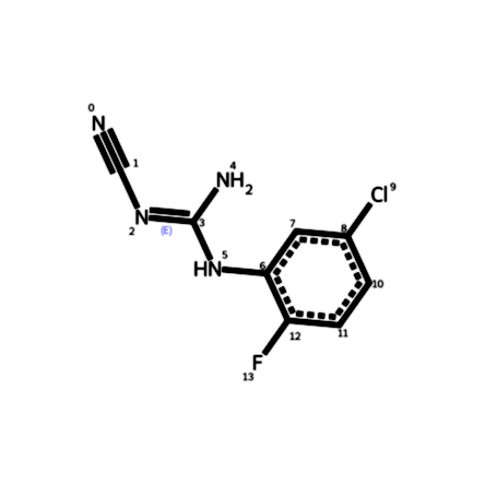 N#C/N=C(\N)Nc1cc(Cl)ccc1F